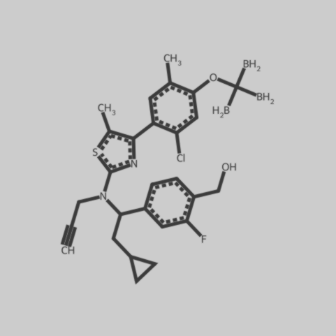 BC(B)(B)Oc1cc(Cl)c(-c2nc(N(CC#C)C(CC3CC3)c3ccc(CO)c(F)c3)sc2C)cc1C